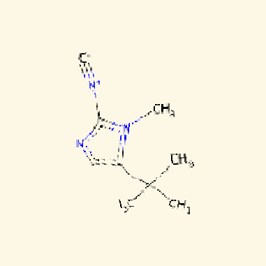 [C-]#[N+]c1ncc(C(C)(C)C)n1C